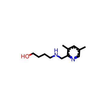 Cc1cnc(CNCCCCO)c(C)c1